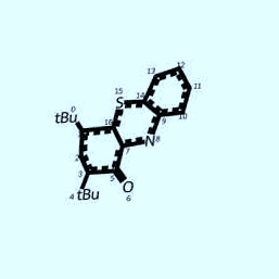 CC(C)(C)c1cc(C(C)(C)C)c(=O)c2nc3ccccc3sc1-2